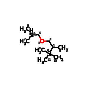 CC(COC[SiH](C)C)[Si](C)(C)C